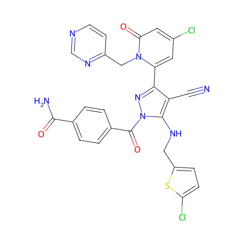 N#Cc1c(-c2cc(Cl)cc(=O)n2Cc2ccncn2)nn(C(=O)c2ccc(C(N)=O)cc2)c1NCc1ccc(Cl)s1